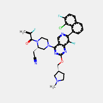 C=C(F)C(=O)N1CCN(c2nc(OC[C@@H]3CCN(C)C3)nc3c(F)c(-c4cccc5ccc(F)c(Cl)c45)ncc23)C[C@@H]1CC#N